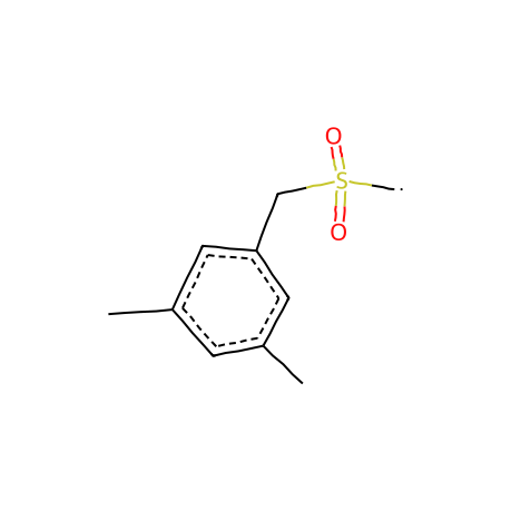 [CH2]S(=O)(=O)Cc1cc(C)cc(C)c1